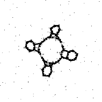 c1ccc2c(c1)-c1cc3oc(cc4nc(cc5oc(cc-2n1)c1ccccc51)-c1ccccc1-4)c1ccccc31